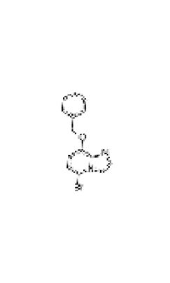 Brc1ccc(OCc2ccccc2)c2nccn12